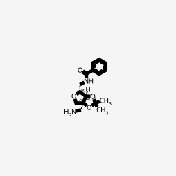 CC1(C)O[C@@H]2[C@@H](CNC(=O)c3ccccc3)OC[C@]2(CN)O1